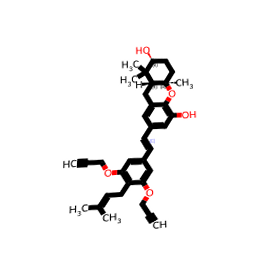 C#CCOc1cc(/C=C/c2cc(O)c3c(c2)C[C@@H]2C(C)(C)[C@H](O)CC[C@@]2(C)O3)cc(OCC#C)c1CC=C(C)C